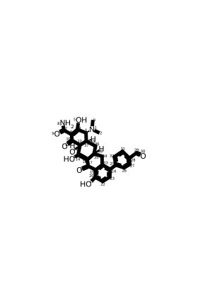 CN(C)[C@H]1C(O)=C(C(N)=O)C(=O)[C@@]2(O)C(O)=C3C(=O)c4c(O)ccc(-c5ccc(C=O)cc5)c4C[C@H]3C[C@H]12